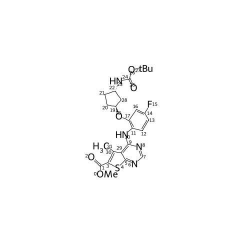 COC(=O)c1sc2ncnc(Nc3ccc(F)cc3O[C@H]3CC[C@H](NC(=O)OC(C)(C)C)C3)c2c1C